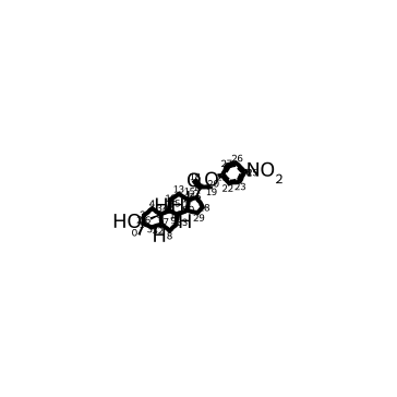 C[C@@]1(O)CC[C@@]2(C)[C@@H](CC[C@@H]3[C@@H]2CC[C@]2(C)[C@@H](C(=O)COc4ccc([N+](=O)[O-])cc4)CC[C@@H]32)C1